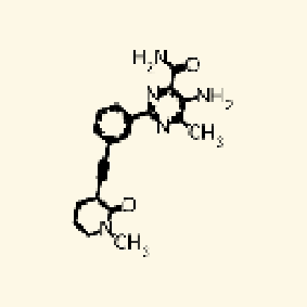 Cc1nc(-c2cccc(C#CC3CCCN(C)C3=O)c2)nc(C(N)=O)c1N